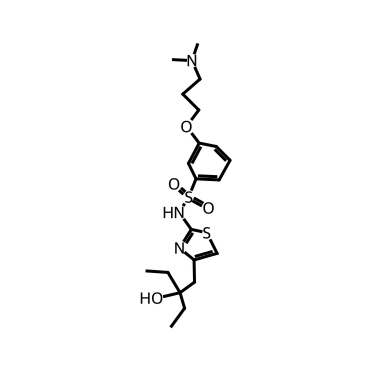 CCC(O)(CC)Cc1csc(NS(=O)(=O)c2cccc(OCCCN(C)C)c2)n1